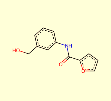 O=C(Nc1cccc(CO)c1)c1ccco1